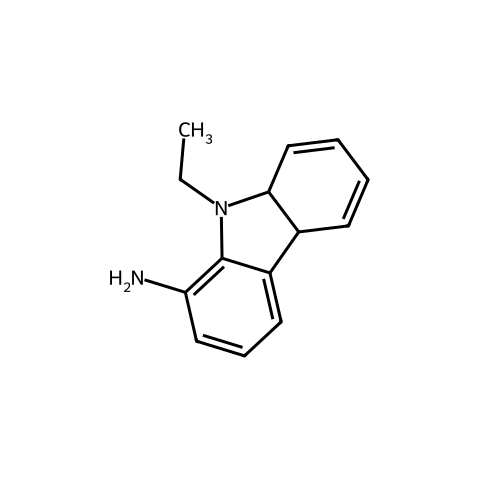 CCN1c2c(N)cccc2C2C=CC=CC21